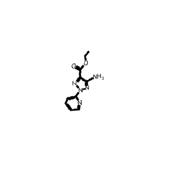 CCOC(=O)c1nn(-c2ccccn2)nc1N